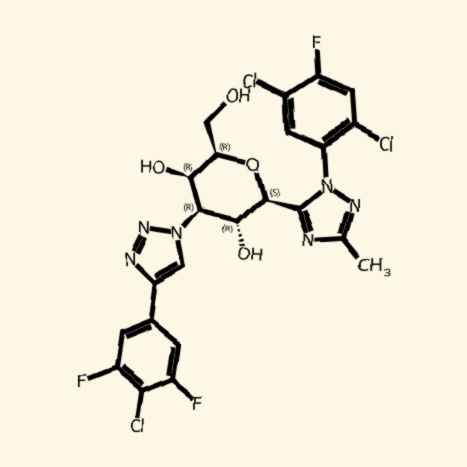 Cc1nc([C@@H]2O[C@H](CO)[C@H](O)[C@H](n3cc(-c4cc(F)c(Cl)c(F)c4)nn3)[C@H]2O)n(-c2cc(Cl)c(F)cc2Cl)n1